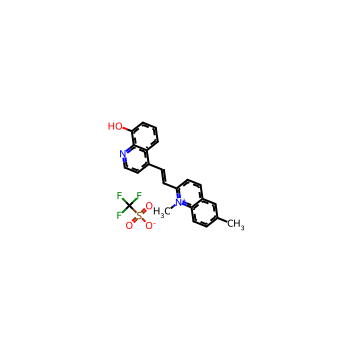 Cc1ccc2c(ccc(C=Cc3ccnc4c(O)cccc34)[n+]2C)c1.O=S(=O)([O-])C(F)(F)F